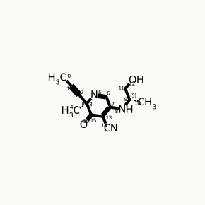 CC#C[C@@]1(C)N=CC(N[C@@H](C)CO)=C(C#N)C1=O